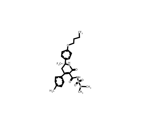 Cc1ccc(C2=C(C(=O)NS(=O)(=O)N(C)C)C(=O)N[C@@](c3ccc(OCCCC(F)(F)F)cc3)(C(F)(F)F)C2)cc1